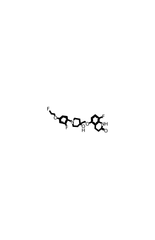 O=C1CCc2c(OCC3(O)CCN(c4ccc(OCCF)cc4F)CC3)ccc(F)c2N1